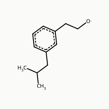 CC(C)Cc1cccc(CC[O])c1